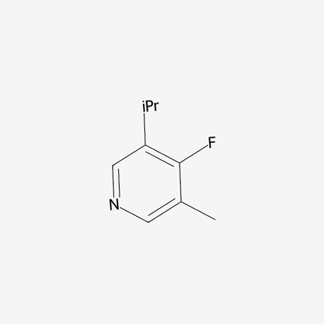 Cc1cncc(C(C)C)c1F